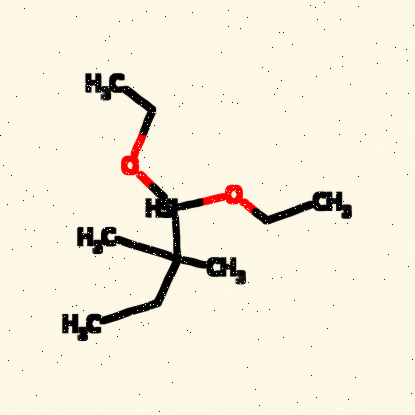 CCO[SiH](OCC)C(C)(C)CC